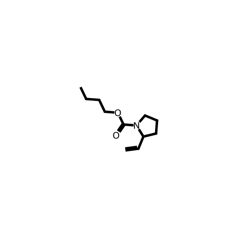 C=CC1CCCN1C(=O)OCCCC